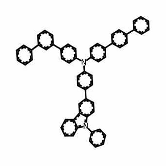 c1ccc(-c2ccc(-c3ccc(N(c4ccc(-c5cccc(-c6ccccc6)c5)cc4)c4ccc(-c5ccc6c(c5)c5ccccc5n6-c5ccccc5)cc4)cc3)cc2)cc1